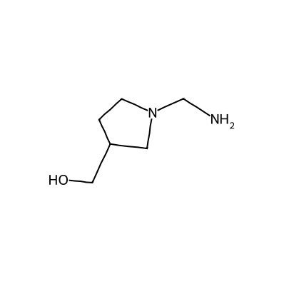 NCN1CCC(CO)C1